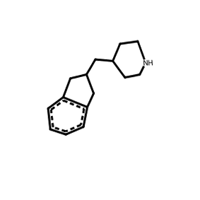 c1ccc2c(c1)CC(CC1CCNCC1)C2